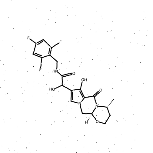 C[C@@H]1CCO[C@H]2Cn3cc(C(O)C(=O)NCc4c(F)cc(F)cc4F)c(O)c3C(=O)N12